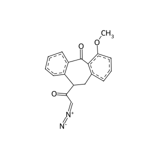 COc1cccc2c1C(=O)c1ccccc1C(C(=O)C=[N+]=[N-])C2